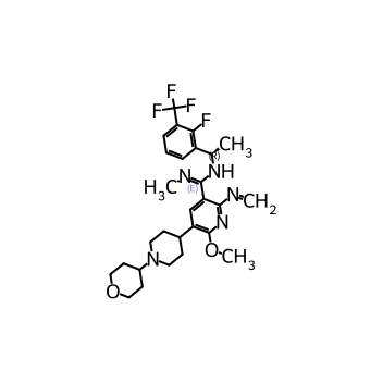 C=Nc1nc(OC)c(C2CCN(C3CCOCC3)CC2)cc1/C(=N\C)N[C@H](C)c1cccc(C(F)(F)F)c1F